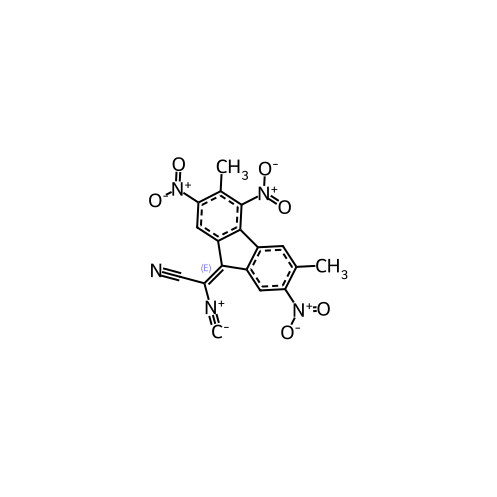 [C-]#[N+]/C(C#N)=C1\c2cc([N+](=O)[O-])c(C)cc2-c2c1cc([N+](=O)[O-])c(C)c2[N+](=O)[O-]